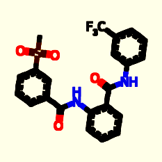 CS(=O)(=O)c1cccc(C(=O)Nc2ccccc2C(=O)Nc2cccc(C(F)(F)F)c2)c1